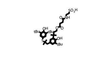 CC(C)(Cc1cc(C(C)(C)C)c(O)c(C(C)(C)CCOC(=O)CCC(=O)NCCS(=O)(=O)O)c1)Sc1cc(C(C)(C)C)c(O)c(C(C)(C)C)c1